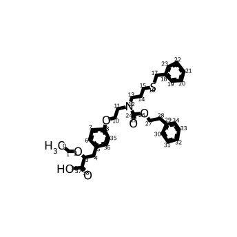 CCOC(Cc1ccc(OCCN(CCCSCc2ccccc2)C(=O)OCCc2ccccc2)cc1)C(=O)O